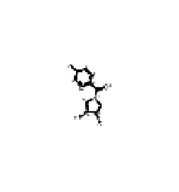 Cc1ccc(C(=O)N2CC(F)C(F)C2)cc1